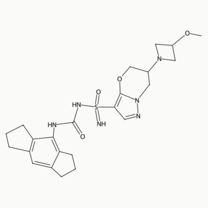 COC1CN(C2COc3c(S(=N)(=O)NC(=O)Nc4c5c(cc6c4CCC6)CCC5)cnn3C2)C1